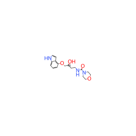 O=C(NCC[C@H](O)COc1cccc2[nH]ccc12)N1CCOCC1